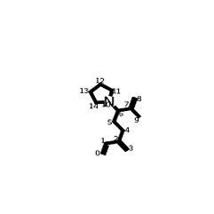 C=CC(=C)CCC(C(=C)C)N1CCCC1